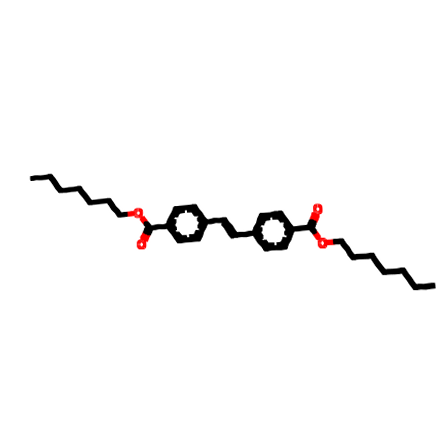 CCCCCCCOC(=O)c1ccc(C=Cc2ccc(C(=O)OCCCCCCC)cc2)cc1